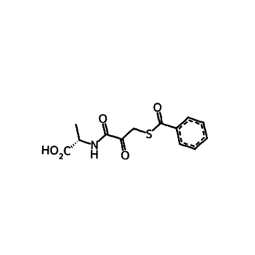 C[C@H](NC(=O)C(=O)CSC(=O)c1ccccc1)C(=O)O